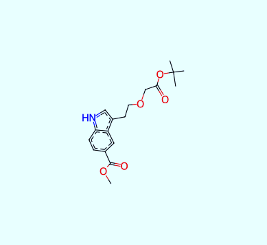 COC(=O)c1ccc2[nH]cc(CCOCC(=O)OC(C)(C)C)c2c1